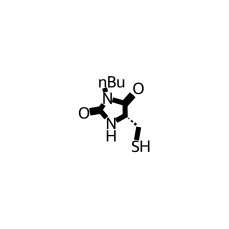 CCCCN1C(=O)N[C@@H](CS)C1=O